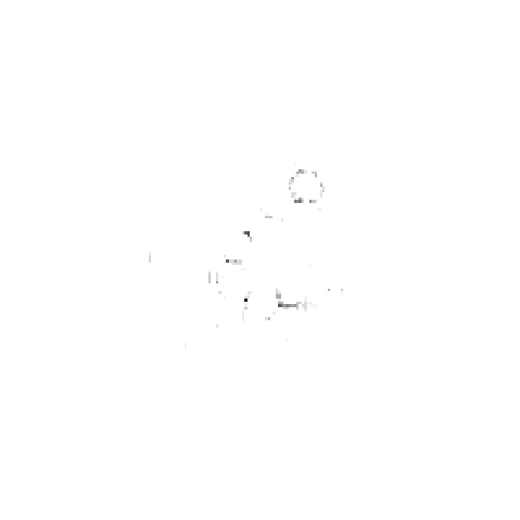 CC(C)[C@H](NC(=O)[C@H](CCC(=O)O)NC(=O)[C@H](CC(=O)O)NC(=O)OCc1ccccc1)C(=O)N[C@@H](CC(=O)O)C(=O)O